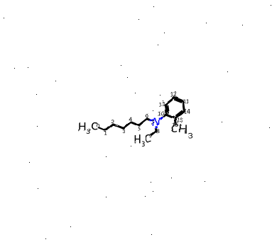 CCCCCCCN(CC)c1ccccc1C